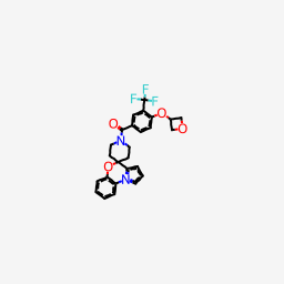 O=C(c1ccc(OC2COC2)c(C(F)(F)F)c1)N1CCC2(CC1)Oc1ccccc1-n1cccc12